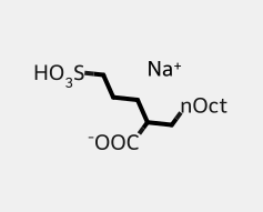 CCCCCCCCCC(CCCS(=O)(=O)O)C(=O)[O-].[Na+]